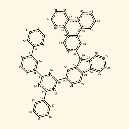 c1ccc(-c2cccc(-c3nc(-c4ccccc4)nc(-c4ccc5c6ccccc6n(-c6ccc7c8ccccc8c8ccccc8c7c6)c5c4)n3)c2)cc1